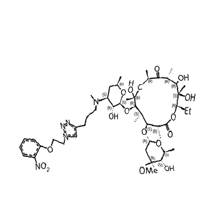 CC[C@H]1OC(=O)[C@H](C)[C@@H](O[C@H]2C[C@@](C)(OC)[C@@H](O)[C@H](C)O2)[C@H](C)[C@@H](O[C@@H]2O[C@H](C)C[C@H](N(C)CCCc3cn(CCOc4ccccc4[N+](=O)[O-])nn3)[C@H]2O)[C@](C)(O)C[C@@H](C)C(=O)[C@H](C)[C@@H](O)[C@]1(C)O